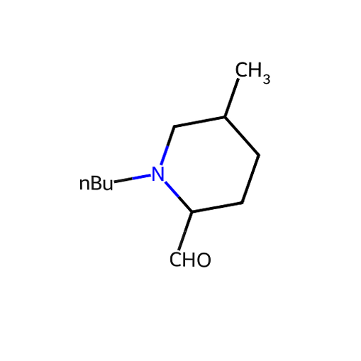 CCCCN1CC(C)CCC1C=O